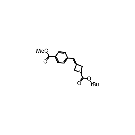 COC(=O)c1ccc(C=C2CN(C(=O)OC(C)(C)C)C2)cc1